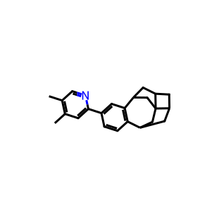 Cc1cnc(-c2ccc3c(c2)C2CC4CC5CC3CC54C2)cc1C